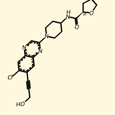 O=C(NC1CCN(c2cnc3cc(Cl)c(C#CCO)cc3n2)CC1)[C@H]1CCCO1